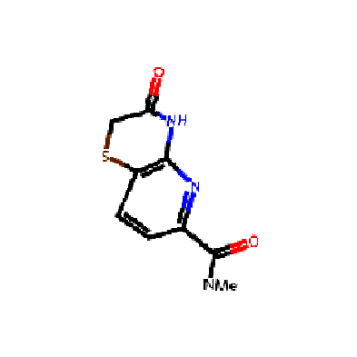 CNC(=O)c1ccc2c(n1)NC(=O)CS2